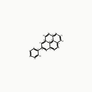 c1ccc(-c2cc3ccc4cccc5ccc(c2)c3c45)cc1